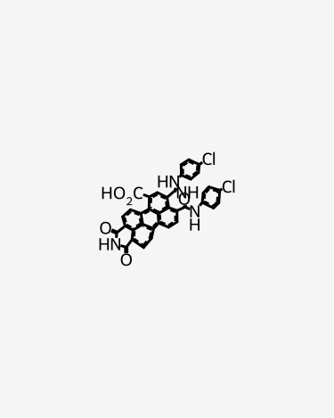 N=C(Nc1ccc(Cl)cc1)c1cc(C(=O)O)c2c3ccc4c5c(ccc(c6ccc(C(=O)Nc7ccc(Cl)cc7)c1c62)c53)C(=O)NC4=O